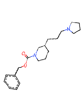 O=C(OCc1ccccc1)N1CCCC(CCCN2CCCC2)C1